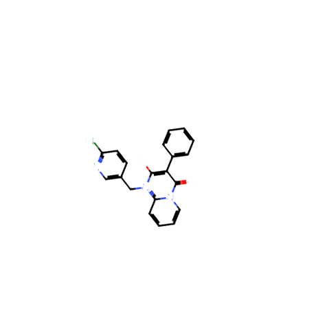 O=c1c(-c2ccccc2)c([O-])[n+](Cc2ccc(Cl)nc2)c2ccccn12